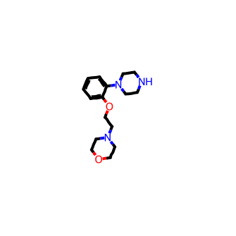 c1ccc(N2CCNCC2)c(OCCN2CCOCC2)c1